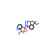 CCC1(C)CC(C)c2c(NC(=O)c3cccnc3C(F)F)cccc21